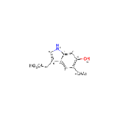 COc1cc2c(CC(=O)O)c[nH]c2cc1O